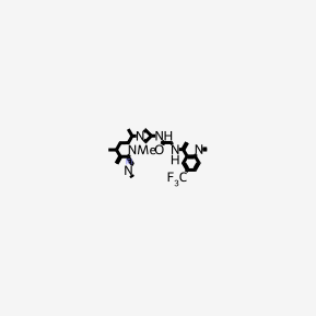 C=N/C=C(/NC)C(=C)C(C)CCC(C)N1CC(NC(=O)CNC(=C)c2cc(C(F)(F)F)ccc2N=C)C1